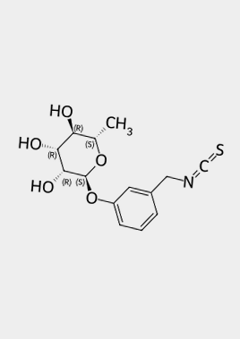 C[C@@H]1O[C@@H](Oc2cccc(CN=C=S)c2)[C@H](O)[C@H](O)[C@H]1O